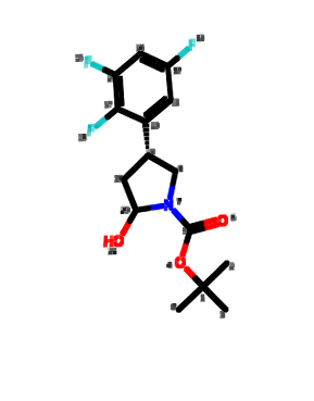 CC(C)(C)OC(=O)N1C[C@@H](c2cc(F)cc(F)c2F)CC1O